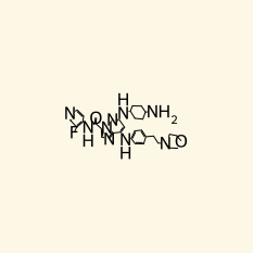 N[C@H]1CC[C@H](Nc2cc(Nc3ccc(CCN4CCOCC4)cc3)c3ncc(C(=O)Nc4ccncc4F)n3n2)CC1